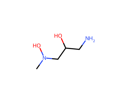 CN(O)CC(O)CN